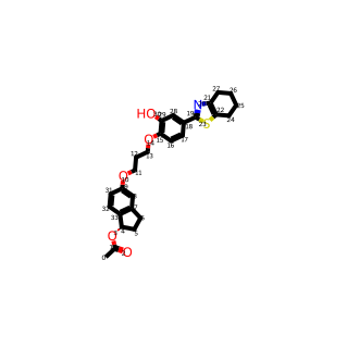 CC(=O)O[C@H]1CCc2cc(OCCCOc3ccc(-c4nc5c(s4)CCCC5)cc3O)ccc21